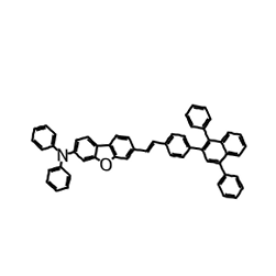 C(=C\c1ccc2c(c1)oc1cc(N(c3ccccc3)c3ccccc3)ccc12)/c1ccc(-c2cc(-c3ccccc3)c3ccccc3c2-c2ccccc2)cc1